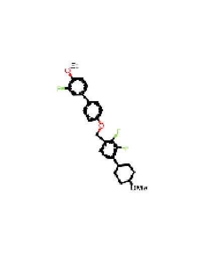 CCOc1ccc(-c2ccc(OCc3ccc(C4CCC(OC)CC4)c(F)c3F)cc2)cc1F